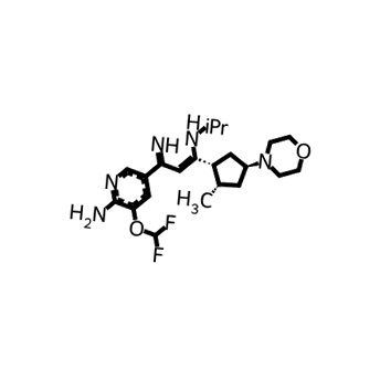 CC(C)N/C(=C\C(=N)c1cnc(N)c(OC(F)F)c1)[C@@H]1C[C@@H](N2CCOCC2)C[C@@H]1C